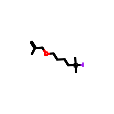 C=C(C)COCCCC[Si](C)(C)I